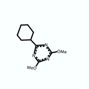 COc1nc(OC)nc(C2CCCCC2)n1